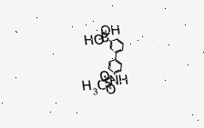 CS(=O)(=O)Nc1ccc(-c2cccc(B(O)O)c2)cc1